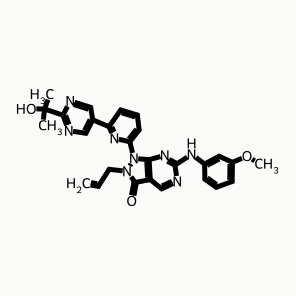 C=CCn1c(=O)c2cnc(Nc3cccc(OC)c3)nc2n1-c1cccc(-c2cnc(C(C)(C)O)nc2)n1